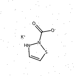 O=C([O-])N1NC=CS1.[K+]